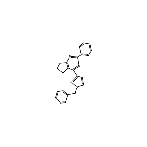 c1ccc(-c2nc3c(c(-c4ccn(Cc5cccnc5)n4)n2)CCC3)cc1